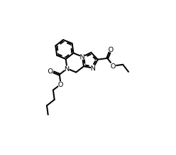 CCCCOC(=O)N1Cc2nc(C(=O)OCC)cn2-c2ccccc21